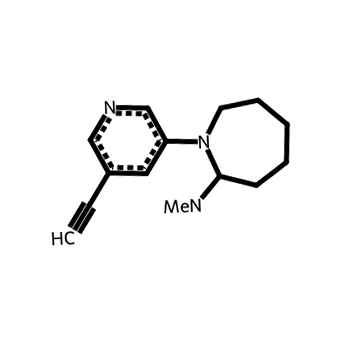 C#Cc1cncc(N2CCCCCC2NC)c1